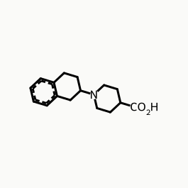 O=C(O)C1CCN(C2CCc3ccccc3C2)CC1